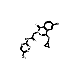 Cc1cnc(NC(=O)Cn2nc(OC3CC3)c3cc(Br)ccc3c2=O)nn1